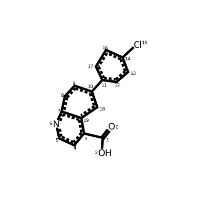 O=C(O)c1ccnc2ccc(-c3ccc(Cl)cc3)cc12